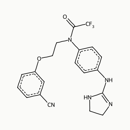 N#Cc1cccc(OCCN(C(=O)C(F)(F)F)c2ccc(NC3=NCCN3)cc2)c1